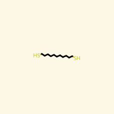 SCCCCCCCCCCCS